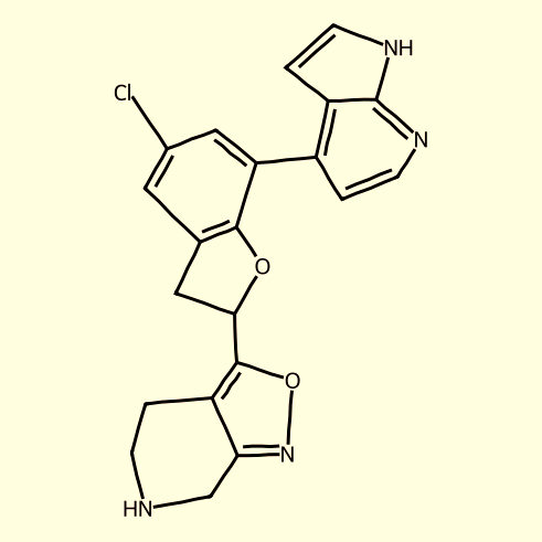 Clc1cc2c(c(-c3ccnc4[nH]ccc34)c1)OC(c1onc3c1CCNC3)C2